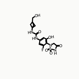 O=C1CN(c2c(O)cc(NC(=O)NC34CC(CO)(C3)C4)cc2F)S(=O)(=O)N1